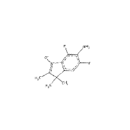 CC1=[N+]([O-])c2c(cc(F)c(N)c2F)C1(C)C